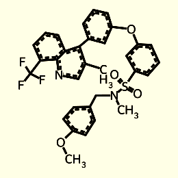 COc1ccc(CN(C)S(=O)(=O)c2cccc(Oc3cccc(-c4c(C)cnc5c(C(F)(F)F)cccc45)c3)c2)cc1